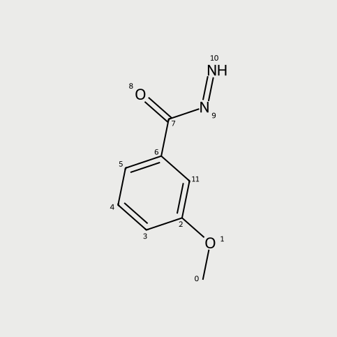 COc1cccc(C(=O)N=N)c1